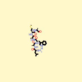 CSCC[C@H](NC(=O)[C@H](C)NC(=O)[C@H](Cc1c[nH]c2ccccc12)NC(=O)[C@H](C)NC(=O)[C@@H](N)CC(C)C)C(=O)N[C@@H](C)[C]=O